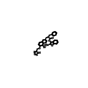 CCCCc1oc2ccccc2c1OC(=O)N(Cc1ccccc1)Cc1ccc2c(Br)c(OCc3nnn[nH]3)ccc2c1